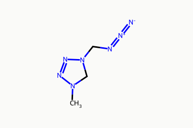 CN1CN(CN=[N+]=[N-])N=N1